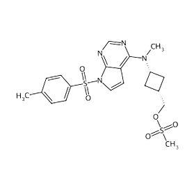 Cc1ccc(S(=O)(=O)n2ccc3c(N(C)[C@H]4C[C@@H](COS(C)(=O)=O)C4)ncnc32)cc1